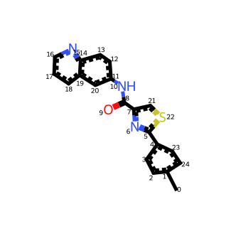 Cc1ccc(-c2nc(C(=O)Nc3ccc4ncccc4c3)cs2)cc1